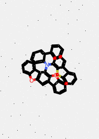 c1ccc(-c2ccccc2N(c2cccc3c2sc2ccccc23)c2c3oc4ccccc4c3cc3oc4ccccc4c23)cc1